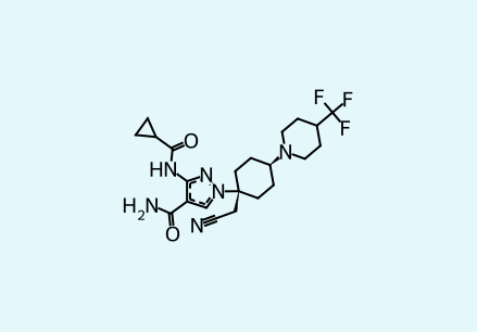 N#CC[C@]1(n2cc(C(N)=O)c(NC(=O)C3CC3)n2)CC[C@H](N2CCC(C(F)(F)F)CC2)CC1